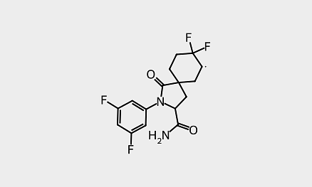 NC(=O)C1CC2(C[CH]C(F)(F)CC2)C(=O)N1c1cc(F)cc(F)c1